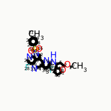 CCOC(=O)CC(Nc1nc(-c2cn(S(=O)(=O)c3ccc(C)cc3)c3ncc(F)cc23)c(C#N)cc1F)C1(C)CCCC1